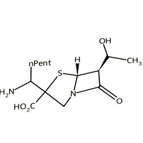 CCCCCC(N)C1(C(=O)O)CN2C(=O)[C@H](C(C)O)[C@H]2S1